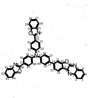 c1ccc2nc3c(nc2c1)oc1cc(-c2ccc(N(c4ccc(-c5nc6ccccc6o5)cc4)c4ccc(-c5nc6ccccc6o5)cc4)cc2)ccc13